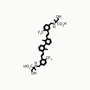 Cc1c(/C=C/c2cc(CNC(C)(CO)C(=O)O)ccc2C(F)(F)F)cccc1-c1cccc(/C=C/c2cc(CN[C@@](C)(CO)C(=O)O)ccc2C(F)(F)F)c1C